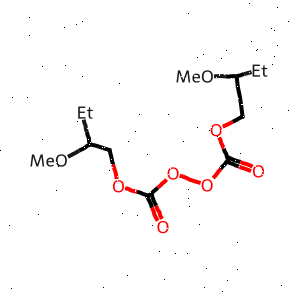 CCC(COC(=O)OOC(=O)OCC(CC)OC)OC